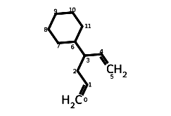 C=CCC(C=C)C1CCCCC1